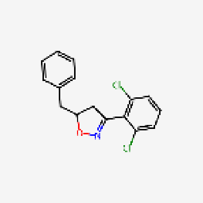 Clc1cccc(Cl)c1C1=NOC(Cc2ccccc2)C1